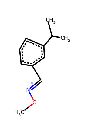 CO/N=C/c1cccc(C(C)C)c1